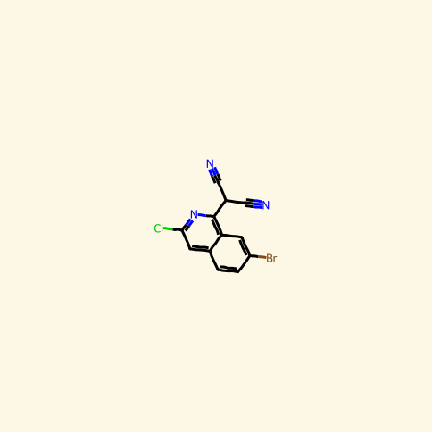 N#CC(C#N)c1nc(Cl)cc2ccc(Br)cc12